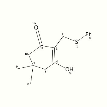 CCSCC1=C(O)CC(C)(C)CC1=O